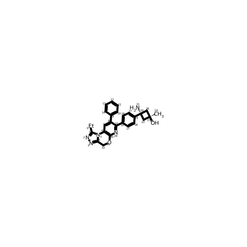 CCc1nnc2n1-c1cc(-c3ccccc3)c(-c3ccc([C@]4(N)C[C@](C)(O)C4)cc3)nc1OC2